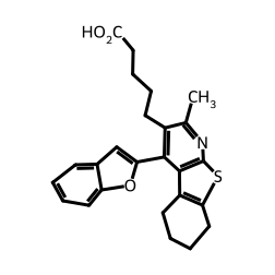 Cc1nc2sc3c(c2c(-c2cc4ccccc4o2)c1CCCCC(=O)O)CCCC3